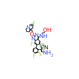 N#Cc1c(N)sc2c(F)ccc(-c3c(Cl)cc4c(NCCO)nc(OC[C@@]56CCCN5C[C@H](F)C6)nc4c3F)c12